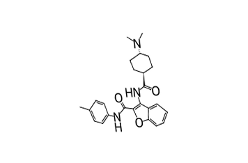 Cc1ccc(NC(=O)c2oc3ccccc3c2NC(=O)[C@H]2CC[C@H](N(C)C)CC2)cc1